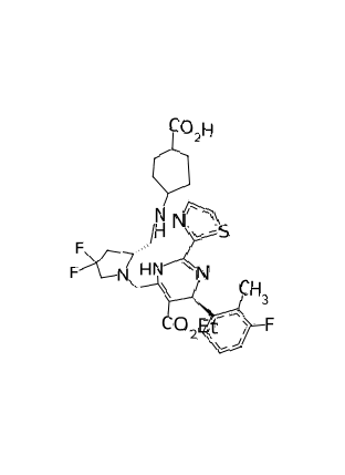 CCOC(=O)C1=C(CN2CC(F)(F)C[C@@H]2CCNC2CCC(C(=O)O)CC2)NC(c2nccs2)=N[C@H]1c1cccc(F)c1C